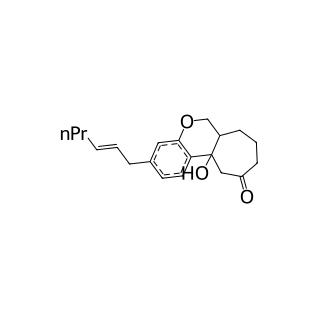 CCCC=CCc1ccc2c(c1)OCC1CCCC(=O)CC21O